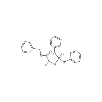 CC(OP(=O)(Oc1ccccc1)Oc1ccccc1)C(=O)OCc1ccccc1